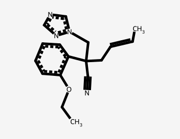 CC=CCC(C#N)(Cn1cncn1)c1ccccc1OCC